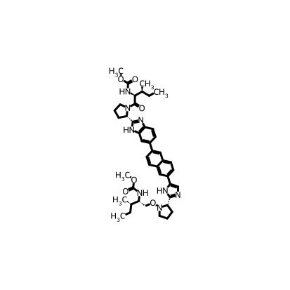 CC[C@H](C)[C@H](NC(=O)OC)C(=O)N1CCC[C@H]1c1nc2ccc(-c3ccc4cc(-c5cnc([C@@H]6CCCN6OC[C@@H](NC(=O)OC)[C@@H](C)CC)[nH]5)ccc4c3)cc2[nH]1